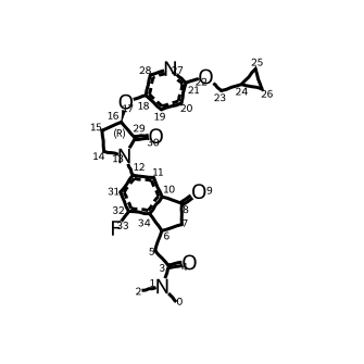 CN(C)C(=O)CC1CC(=O)c2cc(N3CC[C@@H](Oc4ccc(OCC5CC5)nc4)C3=O)cc(F)c21